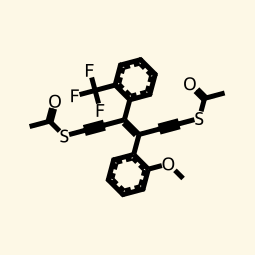 COc1ccccc1/C(C#CSC(C)=O)=C(\C#CSC(C)=O)c1ccccc1C(F)(F)F